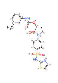 Cc1cccc(NC(=O)O[C@H]2CCN(c3ccc(S(=O)(=O)Nc4nccs4)cc3)C2=O)c1